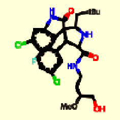 COC(CO)CCNC(=O)C1NC(CC(C)(C)C)C2(C(=O)Nc3cc(Cl)c(F)cc32)C1c1cccc(Cl)c1